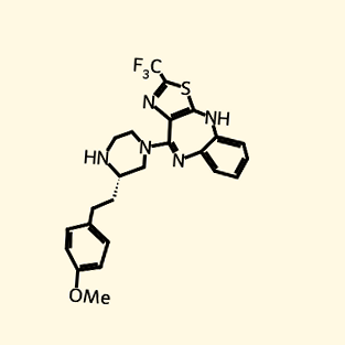 COc1ccc(CC[C@H]2CN(C3=Nc4ccccc4Nc4sc(C(F)(F)F)nc43)CCN2)cc1